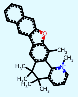 Cc1c2c(cc3c1oc1cc4ccccc4cc13)C(C)(C)C(C)(C)c1ccc[n+](C)c1-2